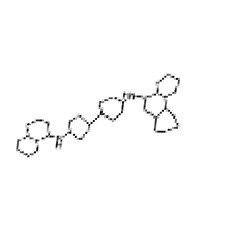 C1CCC2C(C1)CCCC2NC1CCC(C2CCC(NC3CC4CCCCC4C4CCCCC34)CC2)CC1